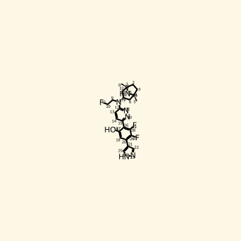 C[C@]12CC[C@](C)(C[C@H](N(CCF)c3ccc(-c4c(O)cc(-c5cn[nH]c5)c(F)c4F)nn3)C1)N2